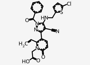 C=Cc1c(-c2nn(C(=O)c3ccccc3)c(NCc3ccc(Cl)s3)c2C#N)ccc(=O)n1CC(=O)O